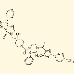 Cc1ccc(-c2nc(C)c(C(=O)N3CC[C@@H](C(=O)N4CCC(O)(Cn5cnc6c(-c7ccccc7)nsc6c5=O)CC4)[C@H](c4ccccc4)C3)s2)cn1